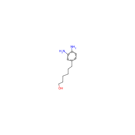 Nc1ccc(CCCCCCO)cc1N